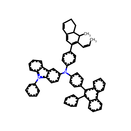 C/C=C\C1=C(c2ccc(N(c3ccc(-c4c(-c5ccccc5)c5ccccc5c5ccccc45)cc3)c3ccc4c(c3)c3ccccc3n4-c3ccccc3)cc2)C=C2C=CCCC2C1C